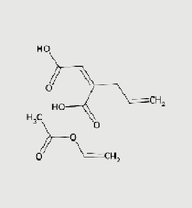 C=CCC(=CC(=O)O)C(=O)O.C=COC(C)=O